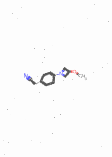 COC1CN([C@H]2CC[C@@H](CC#N)CC2)C1